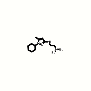 CCN(CC)CCNc1cc(C)n(C2CCCCC2)n1